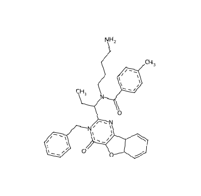 CCC(c1nc2c(c(=O)n1Cc1ccccc1)OC1C=CC=CC21)N(CCCCN)C(=O)c1ccc(C)cc1